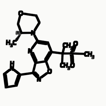 C[C@@H]1COCCN1c1cc(C(C)(C)S(C)(=O)=O)c2onc(-c3ccc[nH]3)c2n1